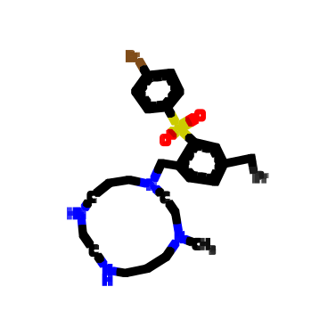 CC(C)Cc1ccc(CN2CCCNCCNCCCN(C)CC2)c(S(=O)(=O)c2ccc(Br)cc2)c1